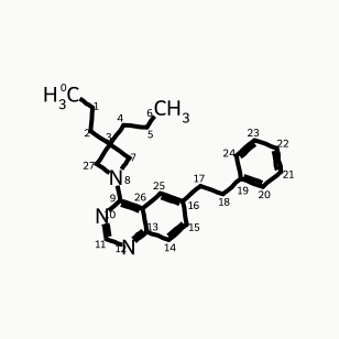 CCCC1(CCC)CN(c2ncnc3ccc(CCc4ccccc4)cc23)C1